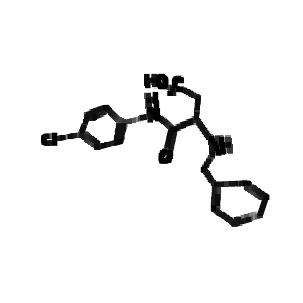 O=C(O)CC(NCc1ccccc1)C(=O)Nc1ccc(Cl)cc1